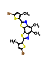 Cc1cc(Br)sc1-c1nc2c(C)c(C)c3nc(-c4sc(Br)cc4C)sc3c2s1